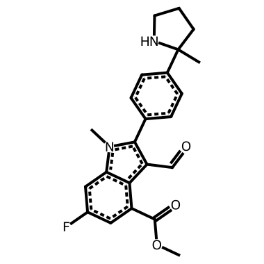 COC(=O)c1cc(F)cc2c1c(C=O)c(-c1ccc(C3(C)CCCN3)cc1)n2C